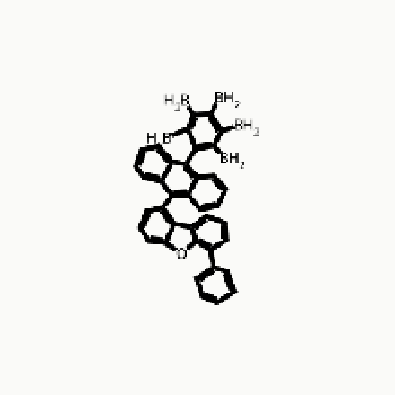 Bc1c(B)c(B)c(-c2c3ccccc3c(-c3cccc4oc5c(-c6ccccc6)cccc5c34)c3ccccc23)c(B)c1B